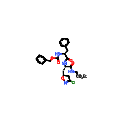 CCOC(=O)CNC(=O)[C@H](CC1CC(Cl)=NO1)NC(=O)[C@H](Cc1ccccc1)NC(=O)OCc1ccccc1